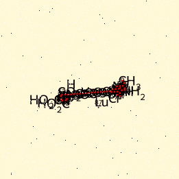 Cc1cc(F)cc(-c2cnc(N3CCN(C(=O)CCOCCOCCOCCOCCOCCOCCOCCOCCNC(=O)CN4CCN(CC(=O)O)CCN(CC(=O)O)CCN(CC(=O)O)CC4)CC3)c(-c3nc4cc(Cl)ccc4[nH]3)c2N2CCC(N)CC2)c1.[Lu]